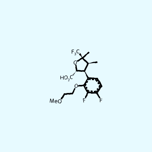 COCCOc1c([C@H]2[C@H](C(=O)O)O[C@@](C)(C(F)(F)F)[C@H]2C)ccc(F)c1F